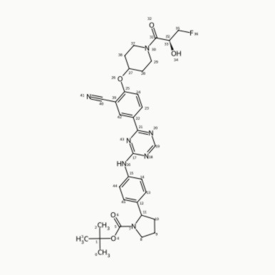 CC(C)(C)OC(=O)N1CCCC1c1ccc(Nc2ncnc(-c3ccc(OC4CCN(C(=O)[C@H](O)CF)CC4)c(C#N)c3)n2)cc1